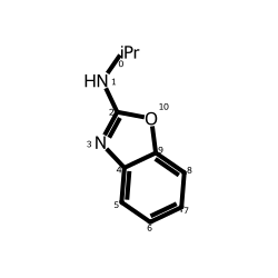 CC(C)Nc1nc2cc[c]cc2o1